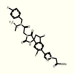 CNC(=O)Cn1cc(-c2cc3c(cc2F)C2(CC3F)NC(=O)N(CC(=O)N(Cc3ccc(F)cc3)[C@@H](C)C(F)(F)F)C2=O)cn1